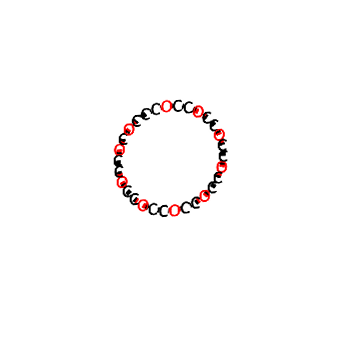 C1COCCOCCOCCOCCOCCOCCOCCOCCOCOC1